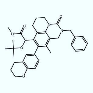 COC(=O)C(OC(C)(C)C)c1c2c3c(c(C)c1-c1ccc4c(c1)CCCO4)CN(Cc1ccccc1)C(=O)N3CCC2